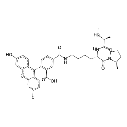 CN[C@@H](C)C(=O)N[C@@H](CCCCNC(=O)c1ccc(-c2c3ccc(=O)cc-3oc3cc(O)ccc23)c(C(=O)O)c1)C(=O)N1CCC[C@H]1C